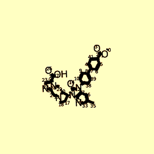 COC(=O)c1ccc(-c2ccc(-n3c(=O)n([C@H]4CCN(Cc5ncc(C(=O)O)n5C)C4)c4ncc(C)cc43)cc2)cc1